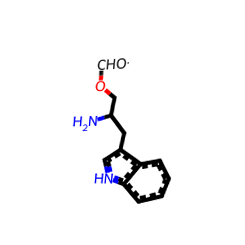 NC(CO[C]=O)Cc1c[nH]c2ccccc12